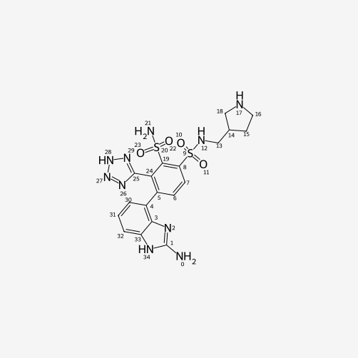 Nc1nc2c(-c3ccc(S(=O)(=O)NCC4CCNC4)c(S(N)(=O)=O)c3-c3nn[nH]n3)cccc2[nH]1